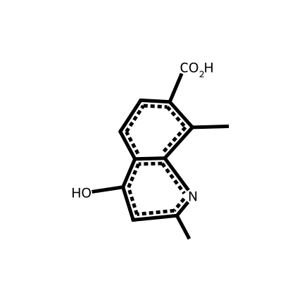 Cc1cc(O)c2ccc(C(=O)O)c(C)c2n1